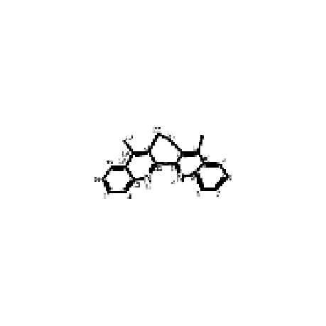 Cc1c2c(nc3ccccc13)-c1nc3ccccc3c(C)c1CC2